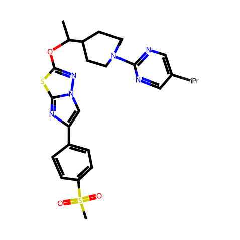 CC(C)c1cnc(N2CCC(C(C)Oc3nn4cc(-c5ccc(S(C)(=O)=O)cc5)nc4s3)CC2)nc1